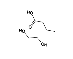 CCCC(=O)O.OCCO